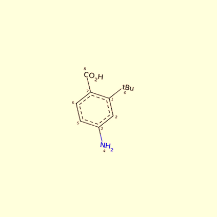 CC(C)(C)c1cc(N)ccc1C(=O)O